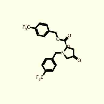 O=C1C[C@H](C(=O)OCc2ccc(C(F)(F)F)cc2)N(Cc2ccc(C(F)(F)F)cc2)C1